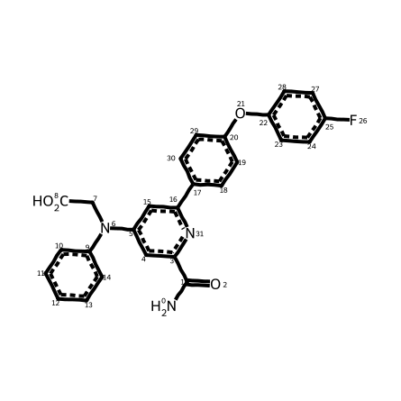 NC(=O)c1cc(N(CC(=O)O)c2ccccc2)cc(-c2ccc(Oc3ccc(F)cc3)cc2)n1